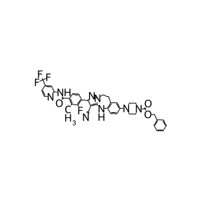 Cc1c(C(=O)Nc2cc(C(F)(F)F)ccn2)ccc(-c2nn3c(c2C#N)Nc2ccc(N4CCN(C(=O)OCc5ccccc5)CC4)cc2CC3)c1F